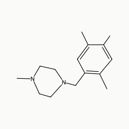 Cc1cc(C)c(CN2CCN(C)CC2)cc1C